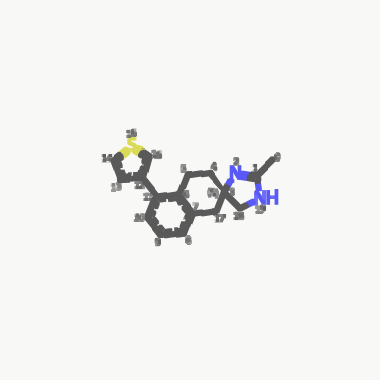 CC1=N[C@]2(CCc3c(cccc3-c3ccsc3)C2)CN1